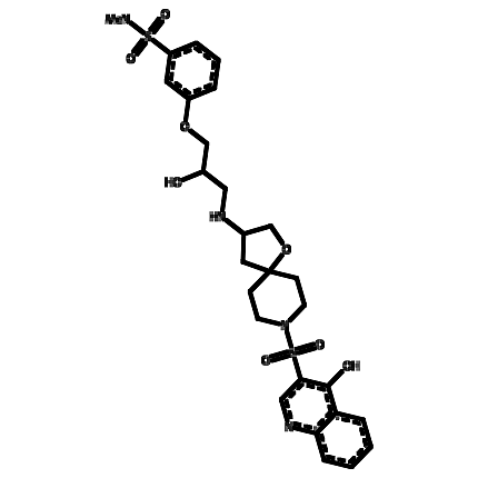 CNS(=O)(=O)c1cccc(OCC(O)CNC2COC3(CCN(S(=O)(=O)c4cnc5ccccc5c4O)CC3)C2)c1